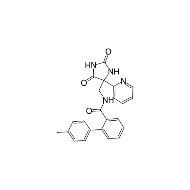 Cc1ccc(-c2ccccc2C(=O)NCC2(c3ccccn3)NC(=O)NC2=O)cc1